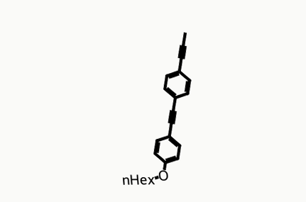 CC#Cc1ccc(C#Cc2ccc(OCCCCCC)cc2)cc1